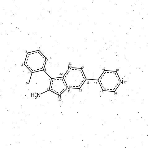 Cc1cccnc1-c1c(N)nn2cc(-c3ccncc3)cnc12